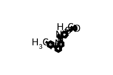 CC1CCN(c2cccc3ccc(-n4cnc5cc(OCC6(C)COC6)ccc54)nc23)CC1